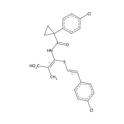 C/C(C(=O)O)=C(/NC(=O)C1(c2ccc(Cl)cc2)CC1)S/C=C/c1ccc(Cl)cc1